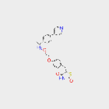 C/C(=N/OCCOc1ccc(CC2SC(=O)NC2=O)cc1)c1ccc(-c2ccncc2)cc1